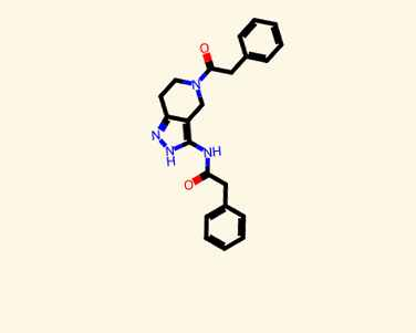 O=C(Cc1ccccc1)Nc1[nH]nc2c1CN(C(=O)Cc1ccccc1)CC2